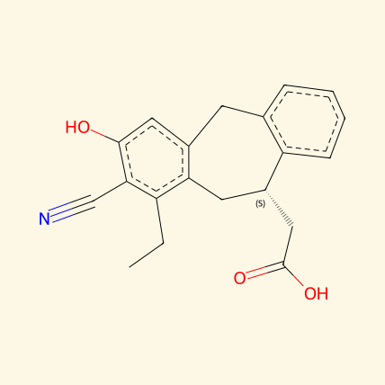 CCc1c(C#N)c(O)cc2c1C[C@@H](CC(=O)O)c1ccccc1C2